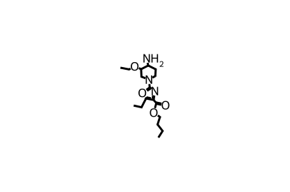 CCCCOC(=O)c1nc(N2CCC(N)C(OCC)C2)oc1CC